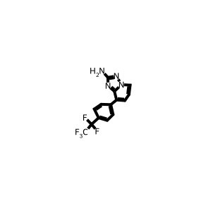 Nc1nc2c(-c3ccc(C(F)(F)C(F)(F)F)cc3)cccn2n1